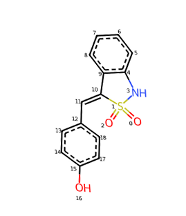 O=S1(=O)Nc2ccccc2C1=Cc1ccc(O)cc1